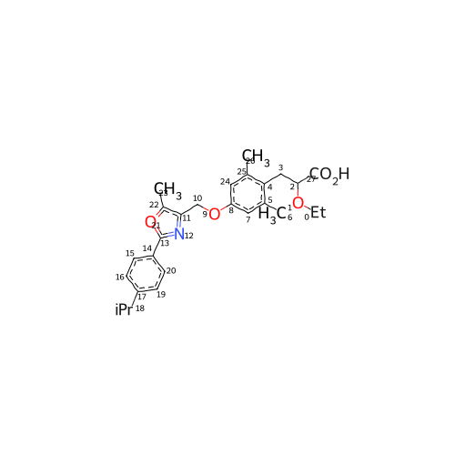 CCOC(Cc1c(C)cc(OCc2nc(-c3ccc(C(C)C)cc3)oc2C)cc1C)C(=O)O